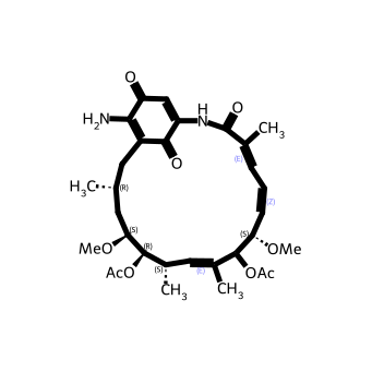 CO[C@H]1/C=C\C=C(/C)C(=O)NC2=CC(=O)C(N)=C(C[C@@H](C)C[C@H](OC)[C@H](OC(C)=O)[C@@H](C)/C=C(\C)C1OC(C)=O)C2=O